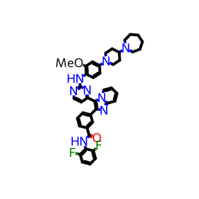 COc1cc(N2CCC(N3CCCCCC3)CC2)ccc1Nc1nccc(-c2c(-c3cccc(C(=O)Nc4c(F)cccc4F)c3)nc3ccccn23)n1